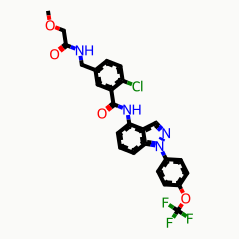 COCC(=O)NCc1ccc(Cl)c(C(=O)Nc2cccc3c2cnn3-c2ccc(OC(F)(F)F)cc2)c1